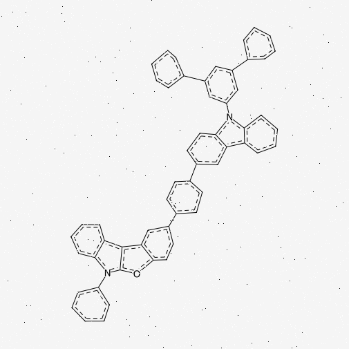 c1ccc(-c2cc(-c3ccccc3)cc(-n3c4ccccc4c4cc(-c5ccc(-c6ccc7oc8c(c7c6)c6ccccc6n8-c6ccccc6)cc5)ccc43)c2)cc1